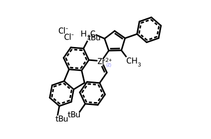 CC1=[C](/[Zr+2](=[CH]/c2ccc(C(C)(C)C)cc2)[c]2c(C(C)(C)C)ccc3c2Cc2cc(C(C)(C)C)ccc2-3)C(C)C=C1c1ccccc1.[Cl-].[Cl-]